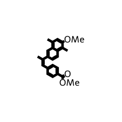 COC(=O)c1ccc(/C=C(/C)c2ccc3c(C)c(OC)cc(C)c3c2)cc1